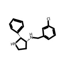 Clc1cccc(CN[C@@H]2CCN[C@@H]2c2ccccc2)c1